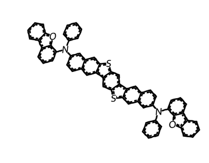 c1ccc(N(c2ccc3cc4c(cc3c2)sc2cc3c(cc24)sc2cc4cc(N(c5ccccc5)c5cccc6c5oc5ccccc56)ccc4cc23)c2cccc3c2oc2ccccc23)cc1